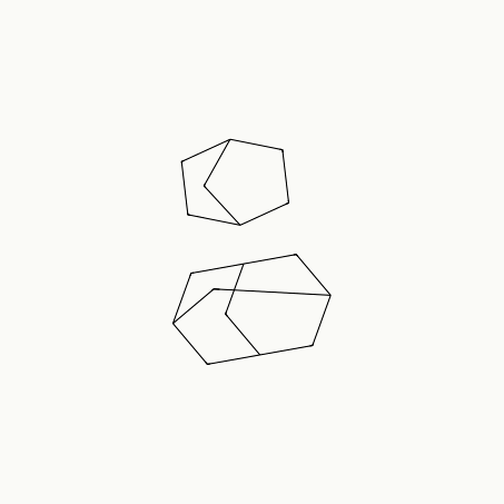 C1C2CC3CC1CC(C2)C3.C1CC2CCC1C2